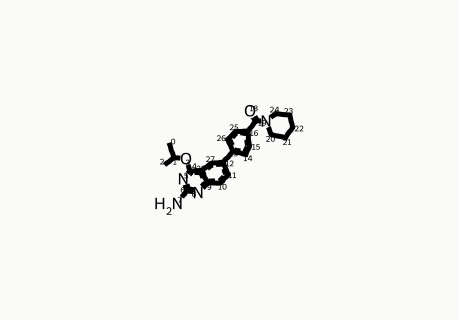 CC(C)Oc1nc(N)nc2ccc(-c3ccc(C(=O)N4CCCCC4)cc3)cc12